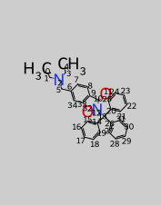 CCN(CC)Cc1ccc2c(=O)n(C(c3ccccc3)(c3ccccc3)c3ccccc3)oc2c1